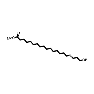 COC(=O)CCCCCCCCCCCCCCCSCCCO